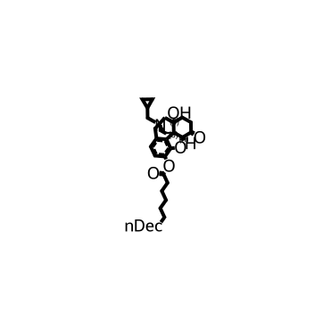 CCCCCCCCCCCCCCCC(=O)Oc1ccc2c3c1O[C@H]1C(=O)CC[C@@]4(O)C(C2)N(CC2CC2)CC[C@]314